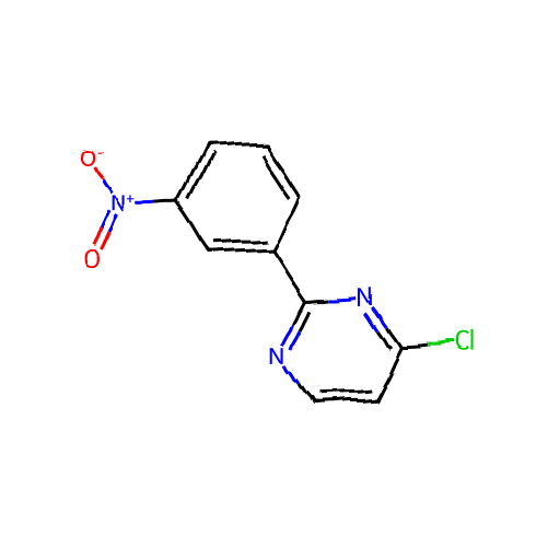 O=[N+]([O-])c1cccc(-c2nccc(Cl)n2)c1